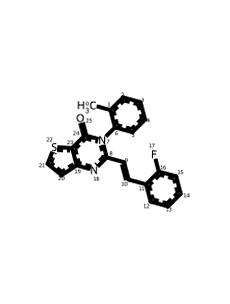 Cc1ccccc1-n1c(C=Cc2ccccc2F)nc2ccsc2c1=O